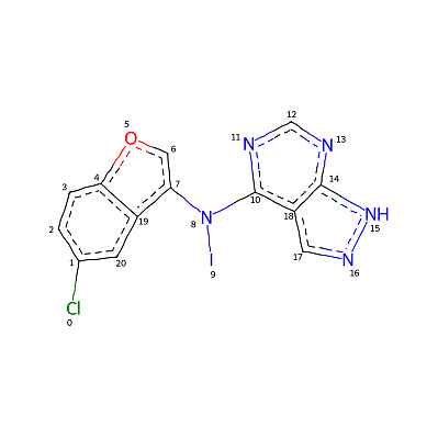 Clc1ccc2occ(N(I)c3ncnc4[nH]ncc34)c2c1